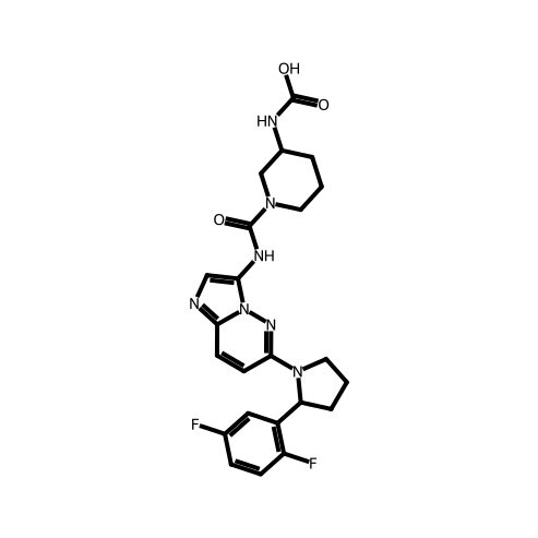 O=C(O)NC1CCCN(C(=O)Nc2cnc3ccc(N4CCCC4c4cc(F)ccc4F)nn23)C1